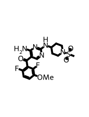 COc1ccc(F)c(C(=O)c2cnc(NC3CCN(S(C)(=O)=O)CC3)nc2N)c1F